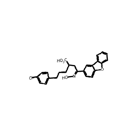 O=C(O)C(CCCc1ccc(Cl)cc1)CC(=NO)c1ccc2oc3ccccc3c2c1